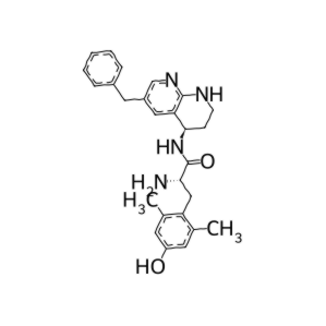 Cc1cc(O)cc(C)c1C[C@H](N)C(=O)N[C@@H]1CCNc2ncc(Cc3ccccc3)cc21